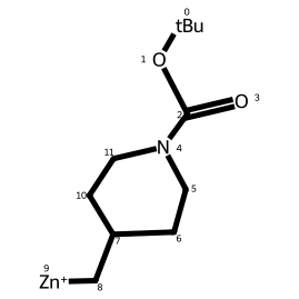 CC(C)(C)OC(=O)N1CCC([CH2][Zn+])CC1